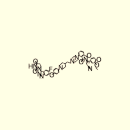 CCOc1cc([C@@H](CC#N)N2C(=O)c3cccc(N4CCN(CCC5CCN(c6ccc(Oc7cc8c(cc7F)c(N7CCC(=O)NC7=O)nn8C)cc6)CC5)CC4)c3C2=O)ccc1OC